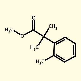 COC(=O)C(C)(C)c1ccccc1C